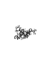 CN1C(=O)CC([S+]([O-])c2ccccc2)[C@@]2(C)C1CC[C@@H]1[C@H]2CC[C@]2(C)C(OC3CC3)CC[C@@H]12